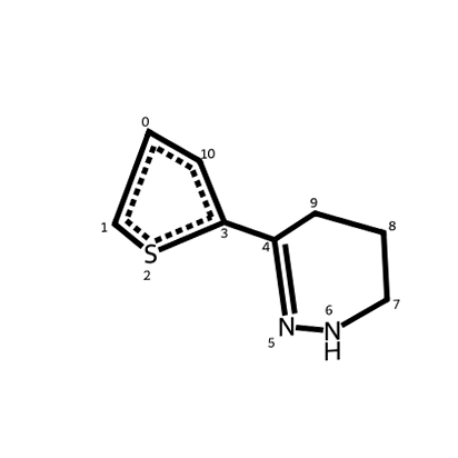 c1csc(C2=NNCCC2)c1